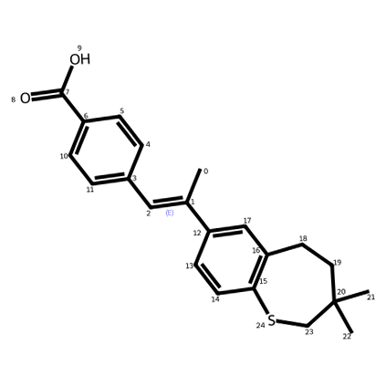 C/C(=C\c1ccc(C(=O)O)cc1)c1ccc2c(c1)CCC(C)(C)CS2